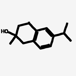 CC(C)c1ccc2c(c1)[C]CC(C)(O)C2